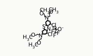 COCCN(CCOC)c1cc(Cl)c2nc3c(Cl)cc(N(CCOC)CCOC)cc3[s+]c2c1.O=C([O-])C(F)(F)F